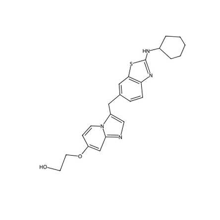 OCCOc1ccn2c(Cc3ccc4nc(NC5CCCCC5)sc4c3)cnc2c1